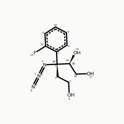 [N-]=[N+]=N[C@](CCO)(c1ccccc1F)[C@@H](O)CO